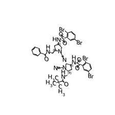 CC(C)(C)C(=O)NC[C@H]1C[C@@H](NS(=O)(=O)c2cc(Br)ccc2Br)CN1C#N.N#CN1C[C@H](NS(=O)(=O)c2cc(Br)ccc2Br)C[C@@H]1CNC(=O)c1ccccc1